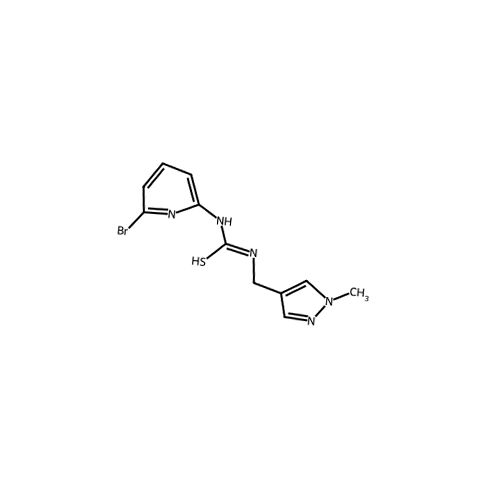 Cn1cc(CN=C(S)Nc2cccc(Br)n2)cn1